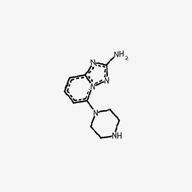 Nc1nc2cccc(N3CCNCC3)n2n1